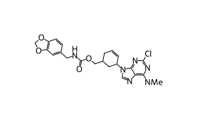 CNc1nc(Cl)nc2c1ncn2C1C=CCC(COC(=O)NCc2ccc3c(c2)OCO3)C1